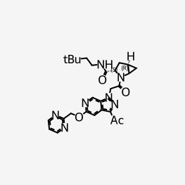 CC(=O)c1nn(CC(=O)N2C3C[C@@H]3C[C@H]2C(=O)NCCC(C)(C)C)c2cnc(OCc3ncccn3)cc12